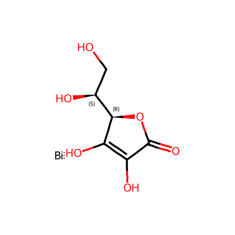 O=C1O[C@H]([C@@H](O)CO)C(O)=C1O.[Bi]